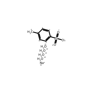 Cc1ccc(S(=O)(=O)[O-])cc1.O.O.O.O.[Na+]